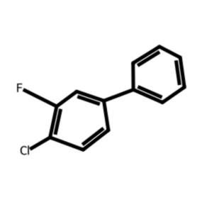 Fc1cc(-c2ccccc2)ccc1Cl